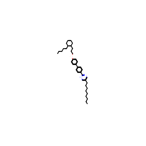 CCCCCCCCCc1cnc(-c2ccc(-c3ccc(OCCCC4CCCCC4CCCCC)cc3)cc2)nc1